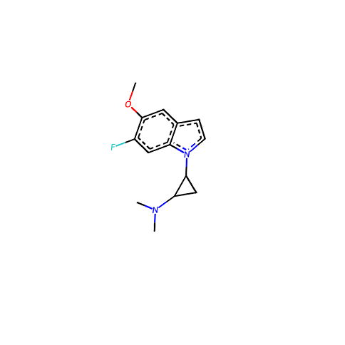 COc1cc2ccn(C3CC3N(C)C)c2cc1F